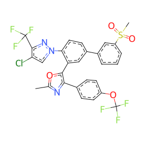 Cc1nc(-c2ccc(OC(F)(F)F)cc2)c(-c2cc(-c3cccc(S(C)(=O)=O)c3)ccc2-n2cc(Cl)c(C(F)(F)F)n2)o1